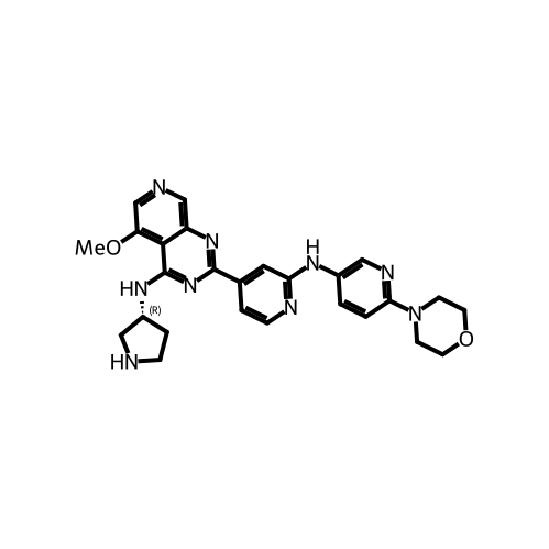 COc1cncc2nc(-c3ccnc(Nc4ccc(N5CCOCC5)nc4)c3)nc(N[C@@H]3CCNC3)c12